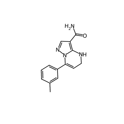 Cc1cccc(C2=CCNc3c(C(N)=O)cnn32)c1